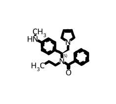 CCCN(C(=O)c1ccccc1)[C@H](CN1CC=CC1)c1ccc(NC)cc1